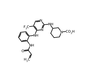 C=CC(=O)Nc1ccccc1Nc1nc(NC2CCCN(C(=O)O)C2)ncc1C(F)(F)F